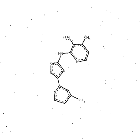 Cc1ccnc(-c2nsc(Nc3nccc(C)c3N)n2)c1